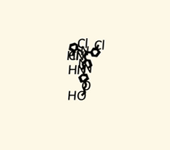 OCCOc1ccc(Nc2nccc(-c3[nH]c(-c4c(Cl)cccc4Cl)nc3-c3cccc(Cl)c3)n2)cc1